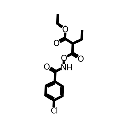 CCOC(=O)C(CC)C(=O)ONC(=O)c1ccc(Cl)cc1